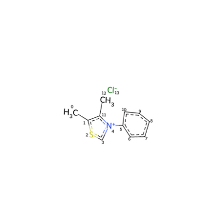 Cc1sc[n+](-c2ccccc2)c1C.[Cl-]